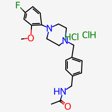 COc1cc(F)ccc1N1CCN(Cc2ccc(CNC(C)=O)cc2)CC1.Cl.Cl